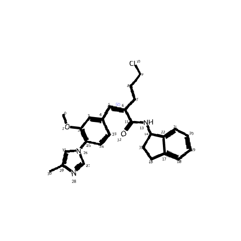 COc1cc(/C=C(/CCCCl)C(=O)NC2CCc3ccccc32)ccc1-n1cnc(C)c1